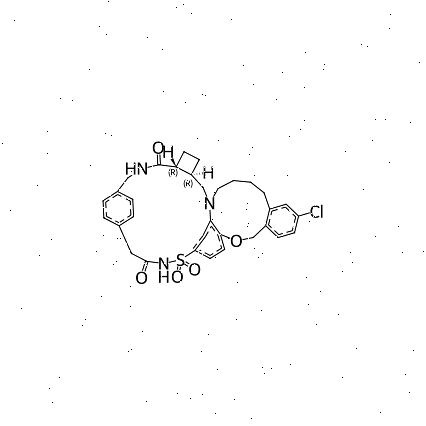 O=C1Cc2ccc(cc2)CNC(=O)[C@@H]2CC[C@H]2CN2CCCCc3cc(Cl)ccc3COc3ccc(cc32)S(=O)(=O)N1